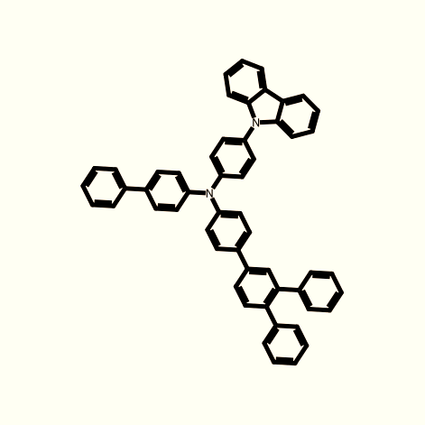 c1ccc(-c2ccc(N(c3ccc(-c4ccc(-c5ccccc5)c(-c5ccccc5)c4)cc3)c3ccc(-n4c5ccccc5c5ccccc54)cc3)cc2)cc1